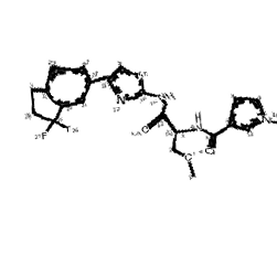 COC[C@H](NC(=O)c1ccn(C)c1)C(=O)Nc1nc(-c2ccc3c(c2)C(F)(F)CC3)cs1